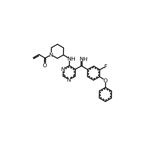 C=CC(=O)N1CCCC(Nc2ncncc2C(=N)c2ccc(Oc3ccccc3)c(F)c2)C1